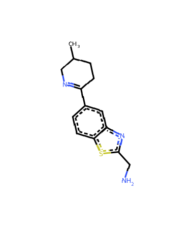 CC1CCC(c2ccc3sc(CN)nc3c2)=NC1